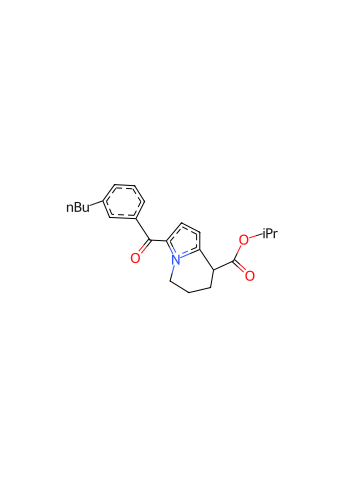 CCCCc1cccc(C(=O)c2ccc3n2CCCC3C(=O)OC(C)C)c1